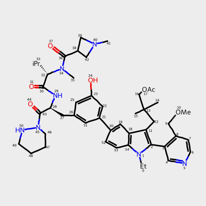 CCn1c(-c2cnccc2COC)c(CC(C)(C)COC(C)=O)c2cc(-c3cc(O)cc(C[C@H](NC(=O)[C@H](C(C)C)N(C)C(=O)C4CN(C)C4)C(=O)N4CCCCN4)c3)ccc21